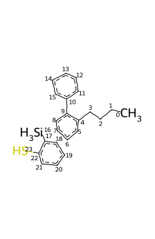 CCCCc1ccccc1-c1ccccc1.[SiH3]c1ccccc1S